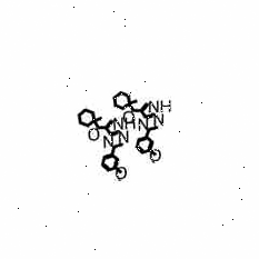 COc1cccc(-c2cnc3[nH]cc(C(=O)C4(C)CCCCC4)c3n2)c1.COc1cccc(-c2cnc3[nH]cc(C(=O)C4(C)CCCCC4)c3n2)c1